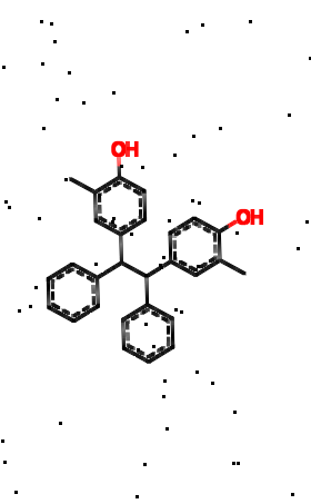 Cc1cc(C(c2ccccc2)C(c2ccccc2)c2ccc(O)c(C)c2)ccc1O